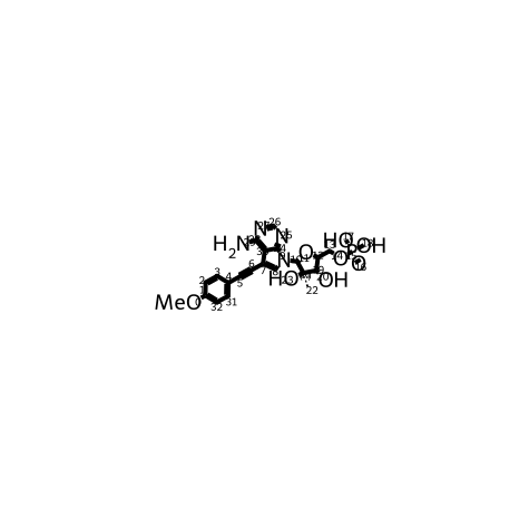 COc1ccc(C#Cc2cn(C3OC(COP(=O)(O)O)C(O)[C@@]3(C)O)c3ncnc(N)c23)cc1